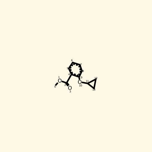 COC(=O)c1ccccc1OC1CC1